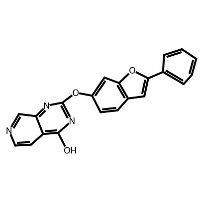 Oc1nc(Oc2ccc3cc(-c4ccccc4)oc3c2)nc2cnccc12